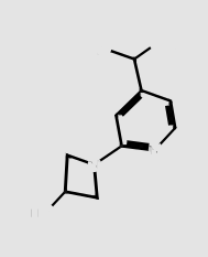 CC(C)c1ccnc(N2CC(O)C2)c1